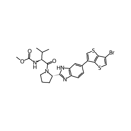 COC(=O)N[C@H](C(=O)N1CCC[C@H]1c1nc2ccc(-c3csc4c(Br)csc34)cc2[nH]1)C(C)C